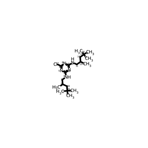 CC(CNc1nc(Cl)nc(NCC(C)CC(C)(C)C)n1)CC(C)(C)C